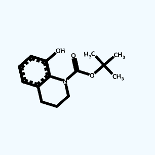 CC(C)(C)OC(=O)N1CCCc2cccc(O)c21